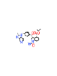 Cc1nc2cnccc2n1Cc1ccc(C(=O)c2cn(C(=O)N(C)C)c3cccc(C(=O)OC(C)C)c23)cc1